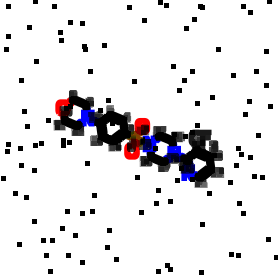 O=S(=O)(c1ccc(N2CCOCC2)cc1)N1CCN(c2ncccc2C(F)(F)F)CC1